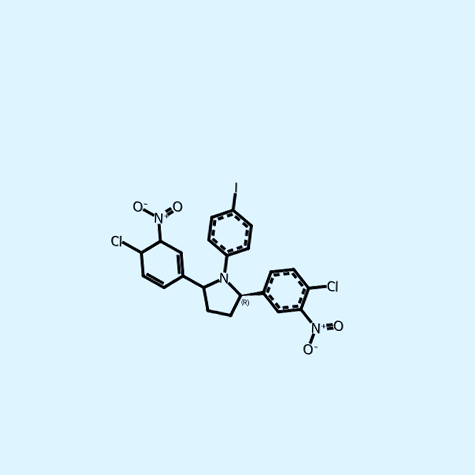 O=[N+]([O-])c1cc([C@H]2CCC(C3=CC([N+](=O)[O-])C(Cl)C=C3)N2c2ccc(I)cc2)ccc1Cl